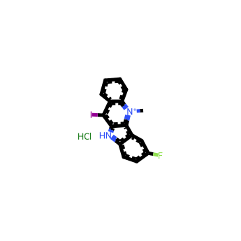 C[n+]1c2ccccc2c(I)c2[nH]c3ccc(F)cc3c21.Cl